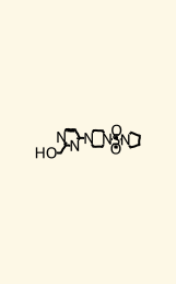 O=S(=O)(N1CCCC1)N1CCN(c2ccnc(CO)n2)CC1